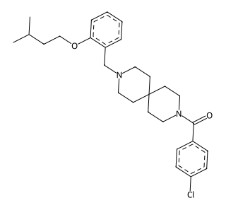 CC(C)CCOc1ccccc1CN1CCC2(CC1)CCN(C(=O)c1ccc(Cl)cc1)CC2